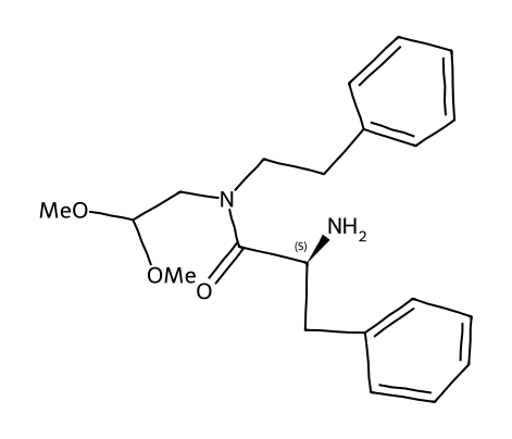 COC(CN(CCc1ccccc1)C(=O)[C@@H](N)Cc1ccccc1)OC